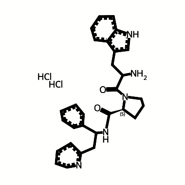 Cl.Cl.NC(Cc1c[nH]c2ccccc12)C(=O)N1CCC[C@H]1C(=O)NC(Cc1ccccn1)c1ccccc1